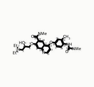 CCN(CC)C[C@@H](O)COc1cc2nccc(Oc3ccc(NC(=O)NC)c(C)c3)c2cc1C(=O)NC